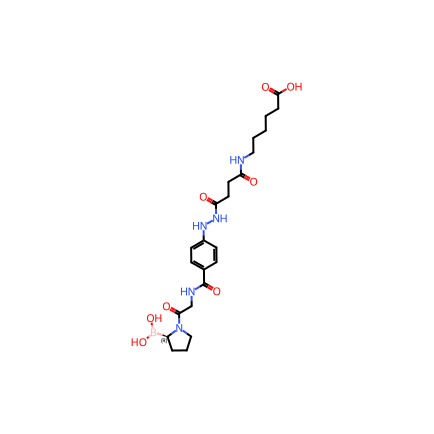 O=C(O)CCCCCNC(=O)CCC(=O)NNc1ccc(C(=O)NCC(=O)N2CCC[C@H]2B(O)O)cc1